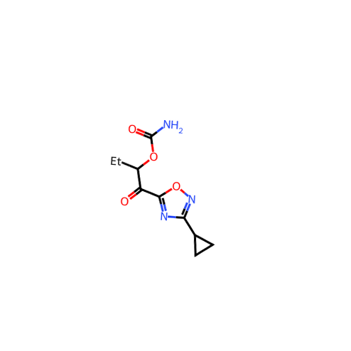 CCC(OC(N)=O)C(=O)c1nc(C2CC2)no1